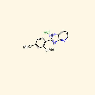 COc1ccc(-c2nc3ncccc3[nH]2)c(OC)c1.Cl